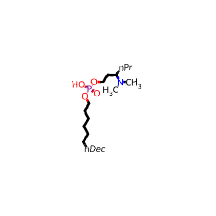 CCCCCCCCCCCCCCCCOP(=O)(O)OCCC(CCC)N(C)C